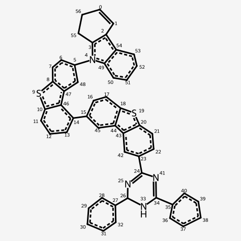 C1=Cc2c(n(-c3ccc4sc5cccc(-c6ccc7sc8ccc(C9=NC(c%10ccccc%10)NC(c%10ccccc%10)=N9)cc8c7c6)c5c4c3)c3ccccc23)CC1